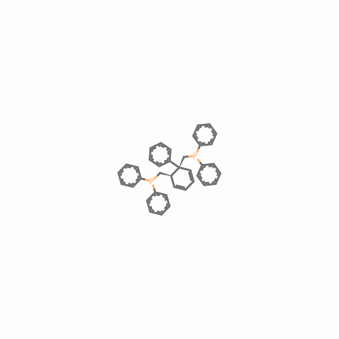 C1=C[C@@H](CP(c2ccccc2)c2ccccc2)[C@](CP(c2ccccc2)c2ccccc2)(c2ccccc2)C=C1